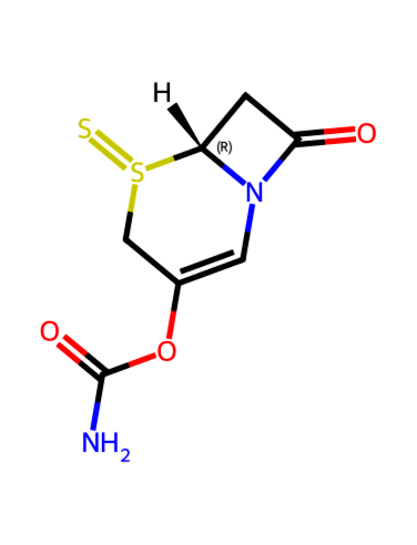 NC(=O)OC1=CN2C(=O)C[C@H]2S(=S)C1